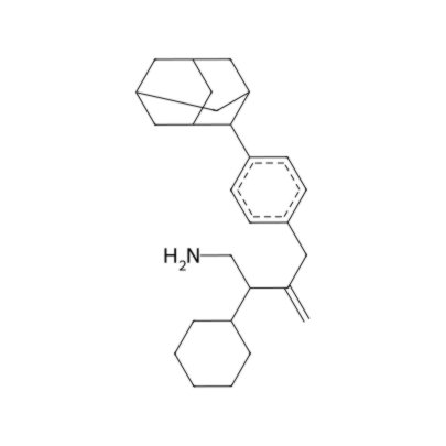 C=C(Cc1ccc(C2C3CC4CC(C3)CC2C4)cc1)C(CN)C1CCCCC1